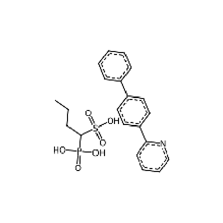 CCCC(P(=O)(O)O)S(=O)(=O)O.c1ccc(-c2ccc(-c3ccccn3)cc2)cc1